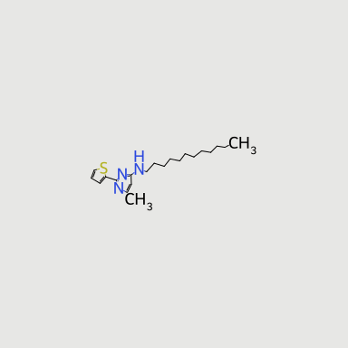 CCCCCCCCCCCCNc1cc(C)nc(-c2cccs2)n1